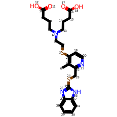 Cc1c(SCCN(CCCC(=O)O)CCCC(=O)O)ccnc1CSc1nc2ccccc2[nH]1